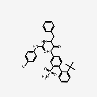 CC(C)(C)c1ccccc1-c1ccc(NC(=O)C(Cc2ccccc2)NC(=O)Nc2ccc(Cl)cc2)cc1S(N)(=O)=O